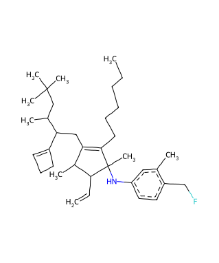 C=CC1C(C)C(CC(C2=CCC2)C(C)CC(C)(C)C)=C(CCCCCC)C1(C)Nc1ccc(CF)c(C)c1